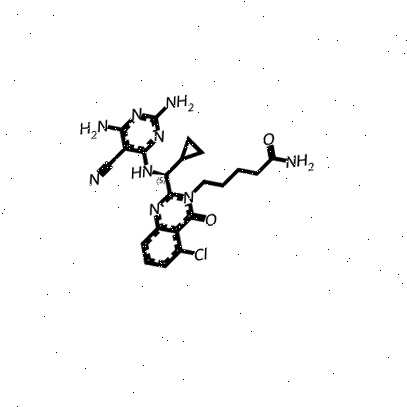 N#Cc1c(N)nc(N)nc1N[C@H](c1nc2cccc(Cl)c2c(=O)n1CCCCC(N)=O)C1CC1